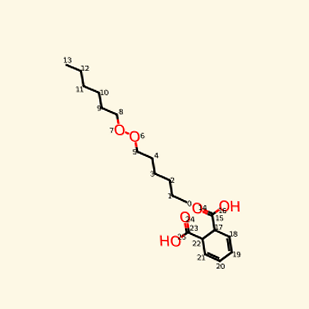 CCCCCCOOCCCCCC.O=C(O)C1C=CC=CC1C(=O)O